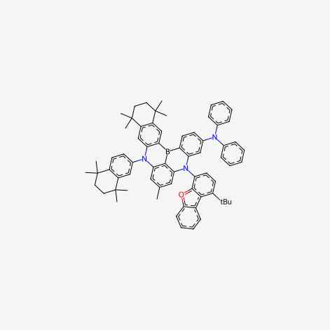 Cc1cc2c3c(c1)N(c1ccc(C(C)(C)C)c4c1oc1ccccc14)c1cc(N(c4ccccc4)c4ccccc4)ccc1B3c1cc3c(cc1N2c1ccc2c(c1)C(C)(C)CCC2(C)C)C(C)(C)CCC3(C)C